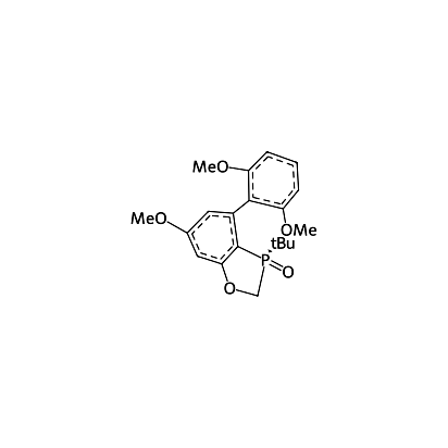 COc1cc2c(c(-c3c(OC)cccc3OC)c1)[P@@](=O)(C(C)(C)C)CO2